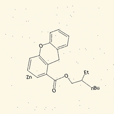 CCCCC(CC)COC(=O)c1cccc2c1Cc1ccccc1O2.[Zn]